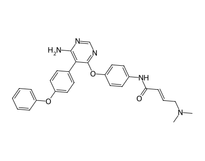 CN(C)CC=CC(=O)Nc1ccc(Oc2ncnc(N)c2-c2ccc(Oc3ccccc3)cc2)cc1